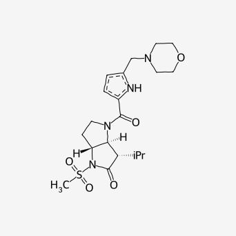 CC(C)[C@@H]1C(=O)N(S(C)(=O)=O)[C@@H]2CCN(C(=O)c3ccc(CN4CCOCC4)[nH]3)[C@H]21